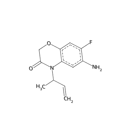 C=CC(C)N1C(=O)COc2cc(F)c(N)cc21